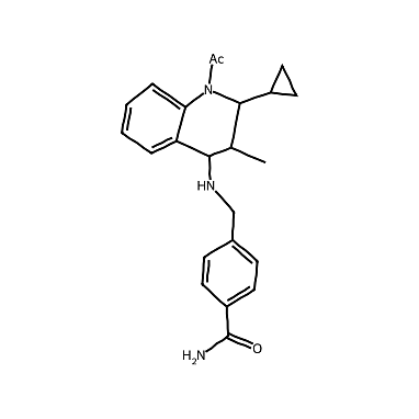 CC(=O)N1c2ccccc2C(NCc2ccc(C(N)=O)cc2)C(C)C1C1CC1